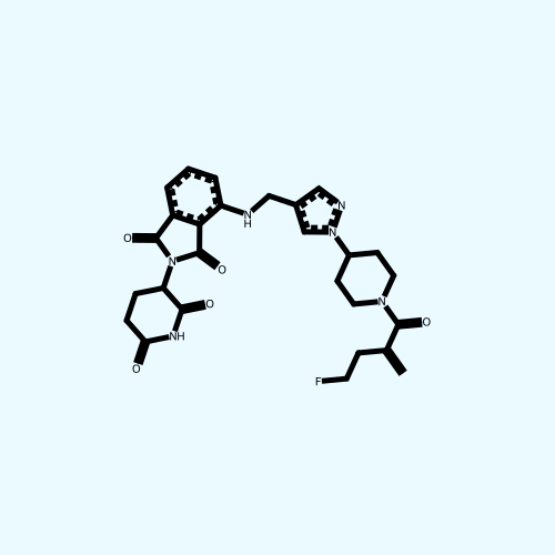 C=C(CCF)C(=O)N1CCC(n2cc(CNc3cccc4c3C(=O)N(C3CCC(=O)NC3=O)C4=O)cn2)CC1